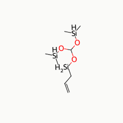 C=CC[SiH2]OC(O[SiH](C)C)O[SiH](C)C